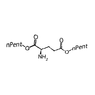 CCCCCOC(=O)CC[C@@H](N)C(=O)OCCCCC